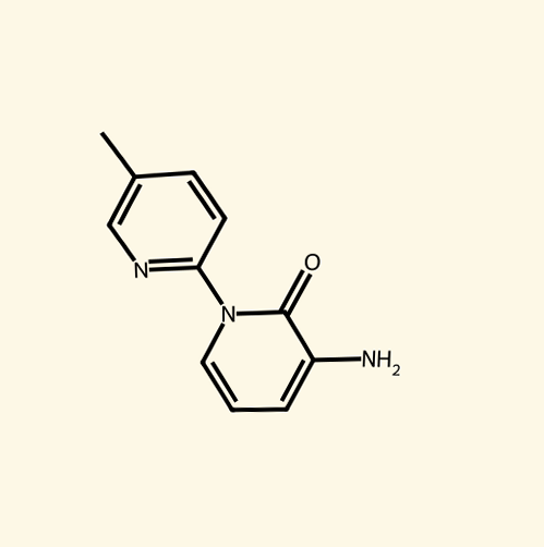 Cc1ccc(-n2cccc(N)c2=O)nc1